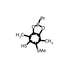 CSc1c(C)c2c(c(C)c1S)OB(C(C)C)O2